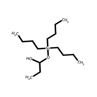 CCC[CH2][Sn]([CH2]CCC)([CH2]CCC)[O]C(O)CC